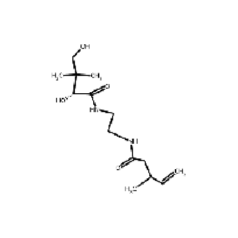 C=CC(C)CC(=O)NCCNC(=O)[C@H](O)C(C)(C)CO